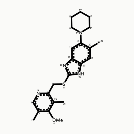 COc1c(C)cnc(CSc2nc3cc(N4CCCCC4)c(F)cc3[nH]2)c1C